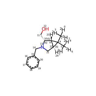 [2H]C([2H])([2H])C1(C([2H])([2H])[2H])[C@H]2[C@@H](CO)N(Cc3ccccc3)C[C@@H]21